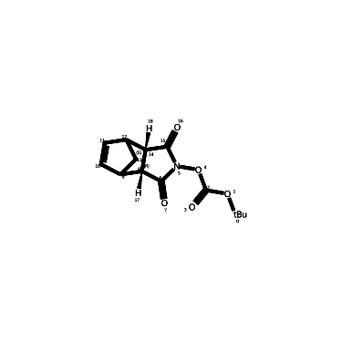 CC(C)(C)OC(=O)ON1C(=O)[C@@H]2C3C=CC(C3)[C@@H]2C1=O